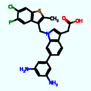 Cc1sc2cc(Cl)c(F)cc2c1Cn1cc(CC(=O)O)c2ccc(-c3cc(N)cc(N)c3)cc21